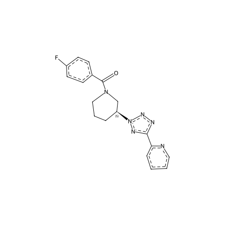 O=C(c1ccc(F)cc1)N1CCC[C@H](n2nnc(-c3ccccn3)n2)C1